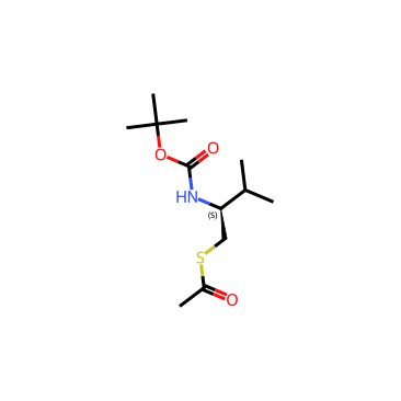 CC(=O)SC[C@@H](NC(=O)OC(C)(C)C)C(C)C